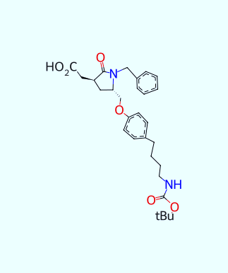 CC(C)(C)OC(=O)NCCCCc1ccc(OC[C@@H]2C[C@@H](CC(=O)O)C(=O)N2Cc2ccccc2)cc1